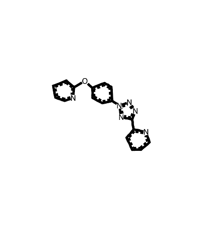 c1ccc(Oc2ccc(-n3nnc(-c4ccccn4)n3)cc2)nc1